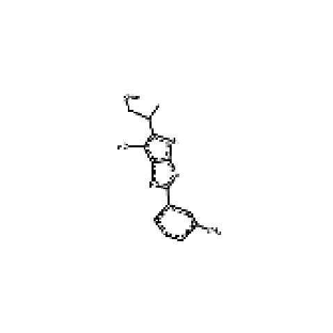 CSCC(C)c1[nH]c2sc(-c3cncc(N)c3)nc2c1O